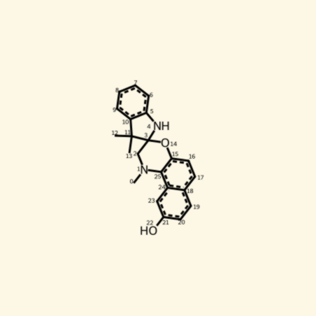 CN1CC2(Nc3ccccc3C2(C)C)Oc2ccc3ccc(O)cc3c21